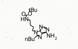 CCCCc1nc2c(N)ncnc2n1CCCCNC(=O)OC(C)(C)C